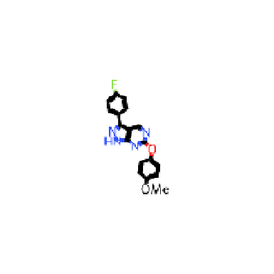 COc1ccc(Oc2ncc3c(-c4ccc(F)cc4)n[nH]c3n2)cc1